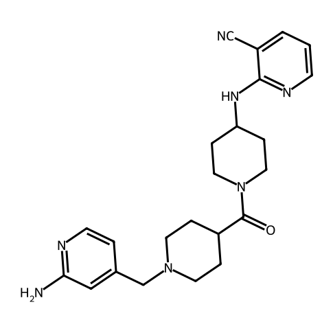 N#Cc1cccnc1NC1CCN(C(=O)C2CCN(Cc3ccnc(N)c3)CC2)CC1